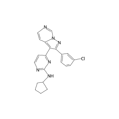 Clc1cccc(-c2nn3cnccc3c2-c2ccnc(NC3CCCC3)n2)c1